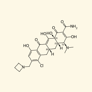 CN(C)[C@@H]1C(O)=C(C(N)=O)C(=O)[C@@]2(O)C(O)=C3C(=O)c4c(O)cc(CN5CCC5)c(Cl)c4C[C@H]3C[C@@H]12